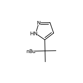 CCCCC(C)(C)c1ccn[nH]1